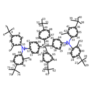 Cc1cc(C(C)(C)C)ccc1N(c1ccc([Si](c2ccc(N(c3ccc(C(C)(C)C)cc3C)c3ccc(C(C)(C)C)cc3C)cc2)(c2ccc(C(C)(C)C)cc2)c2ccc(C(C)(C)C)cc2)cc1)c1ccc(C(C)(C)C)cc1C